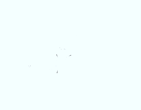 COc1ccc2c3c1O[C@H]1C(=O)CC[C@@]4(OCCCc5ccccc5)C(C2)N(CC2CC2)CC[C@]314